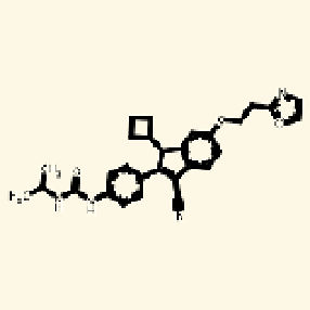 CC(C)NC(=O)Nc1ccc(C2=C(C#N)c3ccc(OCCc4ncco4)cc3C2C2CCC2)cc1